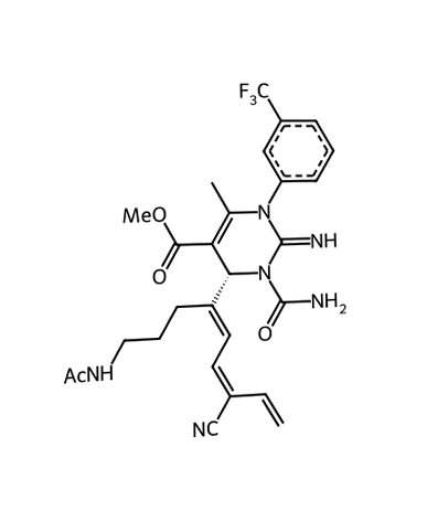 C=C/C(C#N)=C\C=C(/CCCNC(C)=O)[C@@H]1C(C(=O)OC)=C(C)N(c2cccc(C(F)(F)F)c2)C(=N)N1C(N)=O